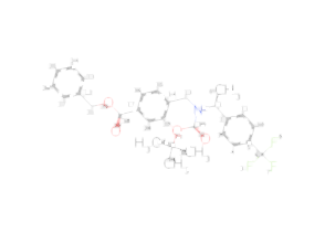 C[C@@H](c1ccc(C(F)(F)F)cc1)N(Cc1ccc(C(=O)OCc2ccccc2)cc1)C(=O)OC(C)(C)C